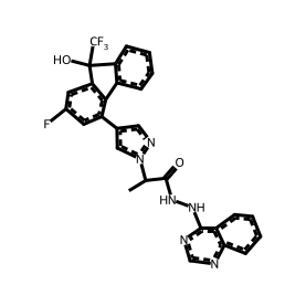 CC(C(=O)NNc1ncnc2ccccc12)n1cc(-c2cc(F)cc3c2-c2ccccc2C3(O)C(F)(F)F)cn1